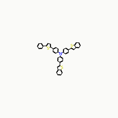 c1ccc(-c2ccc(-c3ccc(N(c4ccc(-c5cc6ccccc6s5)cc4)c4ccc(-c5cc6ccccc6s5)cc4)cc3)s2)cc1